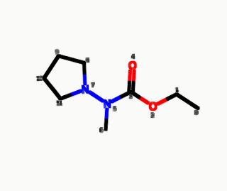 CCOC(=O)N(C)N1CCCC1